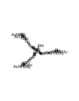 CC(=O)N[C@H]1[C@@H]2OC[C@](COCCOCCOCCOCCn3cc(COCC(COCc4cn(CCOCCOCCOCCOC[C@@]56CO[C@@H](O5)[C@H](NC(C)=O)[C@@H](OC(C)=O)[C@H]6OC(C)=O)nn4)(COCc4cn(CCOCCOCCOCCOC[C@@]56OO[C@@H](O5)[C@H](NC(C)=O)[C@@H](OC(C)=O)[C@H]6OC(C)=O)nn4)NC(=O)CCCO)nn3)(O2)[C@H](OC(C)=O)[C@@H]1OC(C)=O